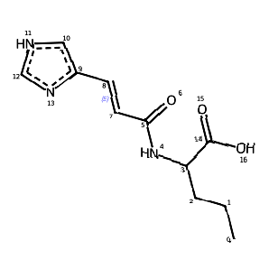 CCCC(NC(=O)/C=C/c1c[nH]cn1)C(=O)O